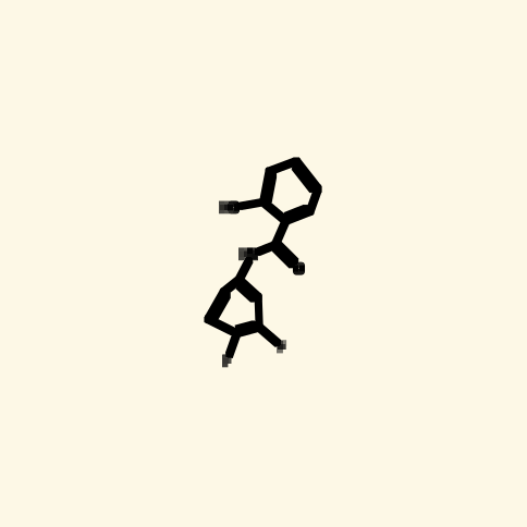 O=C(Nc1ccc(F)c(F)c1)c1ccccc1O